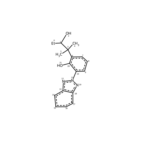 CCC(O)C(C)(C)c1cccc(-n2nc3ccccc3n2)c1O